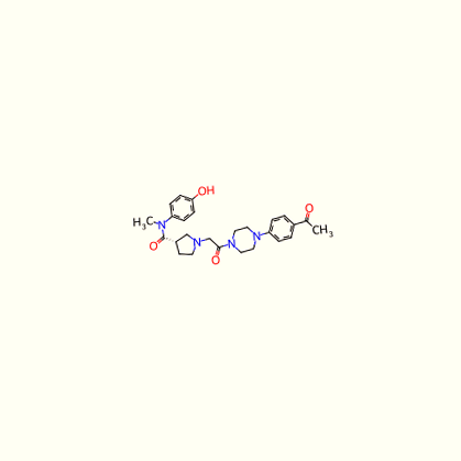 CC(=O)c1ccc(N2CCN(C(=O)CN3CC[C@H](C(=O)N(C)c4ccc(O)cc4)C3)CC2)cc1